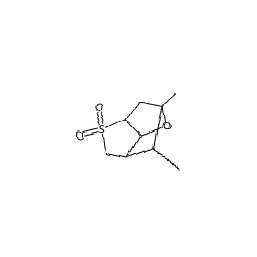 CC1C2CS(=O)(=O)C3CC1(C)OC23